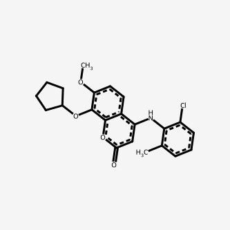 COc1ccc2c(Nc3c(C)cccc3Cl)cc(=O)oc2c1OC1CCCC1